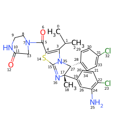 CC(C)C1=C(C(=O)N2CCNC(=O)C2)SC2=N[C@@](C)(c3ccc(Cl)c(N)c3)[C@@H](c3ccc(Cl)cc3)N21